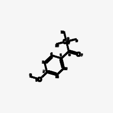 COc1ccc([C](=O)[Ge]([CH3])([CH3])[CH3])cc1